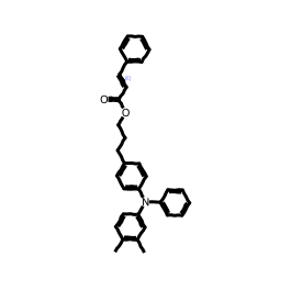 Cc1ccc(N(c2ccccc2)c2ccc(CCCOC(=O)/C=C/c3ccccc3)cc2)cc1C